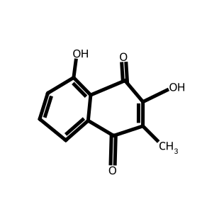 CC1=C(O)C(=O)c2c(O)cccc2C1=O